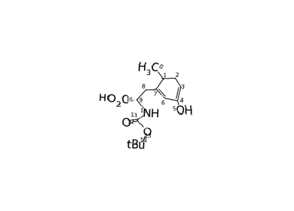 CC1CC=C(O)C=C1C[C@H](NC(=O)OC(C)(C)C)C(=O)O